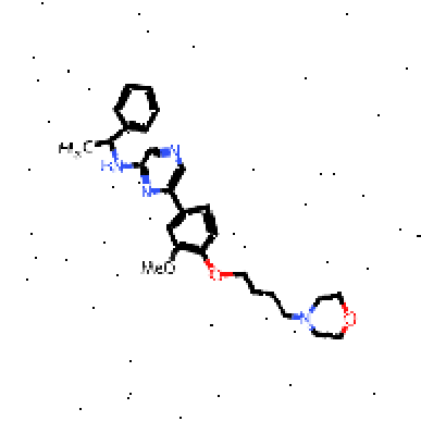 COc1cc(-c2cncc(NC(C)c3ccccc3)n2)ccc1OCCCCN1CCOCC1